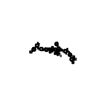 CC1CN(CC[C@H](CSc2ccccc2)Nc2ccc(S(=O)(=O)NC(=O)c3ccc(N4CCN(CC5=C(c6ccc(Cl)cc6)CCC(C)(C)C5)CC4)cc3)cc2S(=O)(=O)C(F)(F)F)CC(C)N1Cc1ccc(C2CCC(=O)NC2=O)cc1